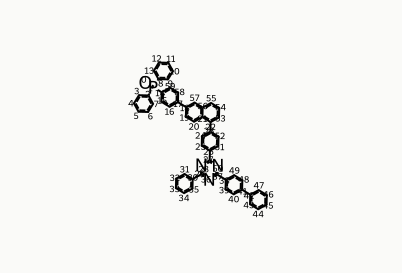 O=P(c1ccccc1)(c1ccccc1)c1ccc(-c2ccc3c(-c4ccc(-c5nc(-c6ccccc6)nc(-c6ccc(-c7ccccc7)cc6)n5)cc4)cccc3c2)cc1